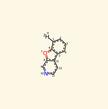 [2H]c1cccc2c1oc1cnccc12